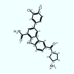 NC(=O)c1cc(-c2ccc(Cl)c(Cl)c2)cc2c1[nH]c1ccc(C(=O)N3CC[C@H](N)C3)cc12